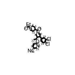 CCC(=O)N1CCC(C(=O)N2CC(c3ccc(Cl)c(Cl)c3)C(C(C)Oc3ccc(C#N)cn3)C2)CC1